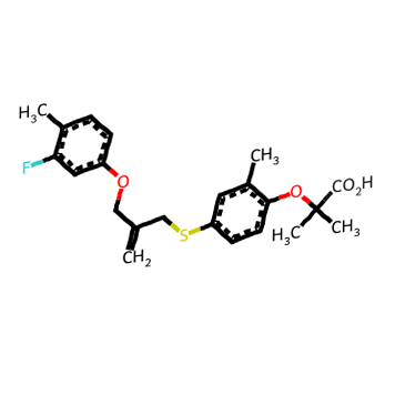 C=C(COc1ccc(C)c(F)c1)CSc1ccc(OC(C)(C)C(=O)O)c(C)c1